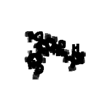 CCOc1cc(-c2ccnc(OC)c2)nc2cc(C(=O)NCCC3NN=NC3C)ccc12